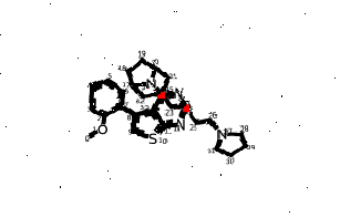 COc1ccccc1-c1csc2ncnc(N3C4CCC3CC(COCCN3CCCC3)C4)c12